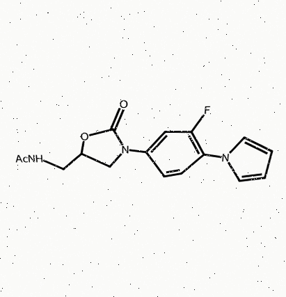 CC(=O)NCC1CN(c2ccc(-n3cccc3)c(F)c2)C(=O)O1